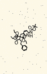 CCOC(=O)C(CCc1ccccc1)C(Cc1ccc(NC(=O)OC(C)(C)C)nc1)(C(=O)OCC)C(=O)OCC